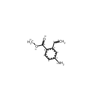 C=Cc1cc(N)ccc1C(=O)OC